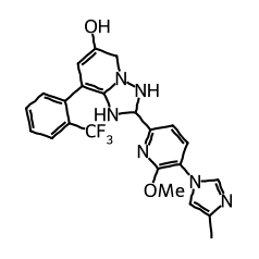 COc1nc(C2NC3=C(c4ccccc4C(F)(F)F)C=C(O)CN3N2)ccc1-n1cnc(C)c1